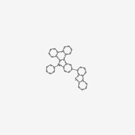 c1ccc(-n2c3ccc(-c4cccc5c4sc4ccccc45)cc3c3c4ccccc4c4ccccc4c32)cc1